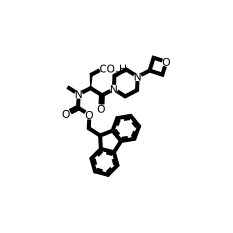 CN(C(=O)OCC1c2ccccc2-c2ccccc21)[C@@H](CC(=O)O)C(=O)N1CCN(C2COC2)CC1